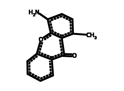 Cc1ccc(N)c2oc3ccccc3c(=O)c12